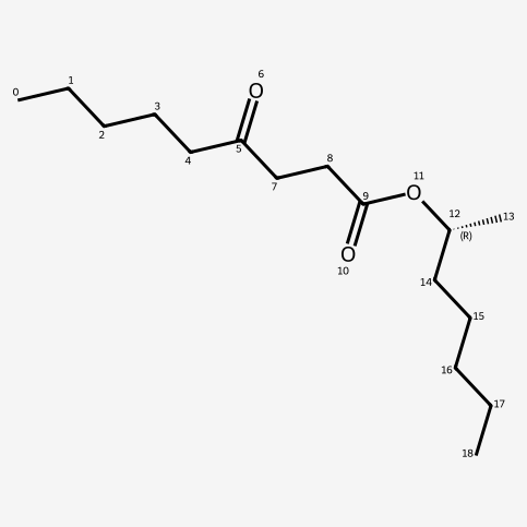 CCCCCC(=O)CCC(=O)O[C@H](C)CCCCC